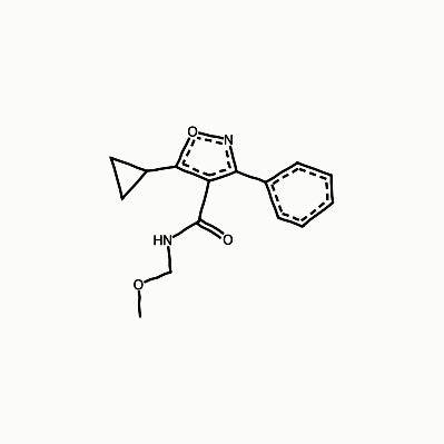 COCNC(=O)c1c(-c2ccccc2)noc1C1CC1